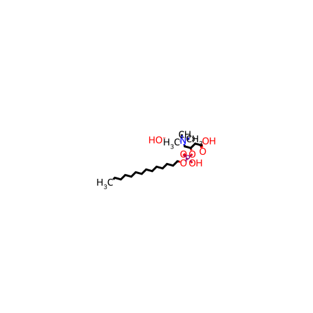 CCCCCCCCCCCCCCOP(=O)(O)OC(CC(=O)O)C[N+](C)(C)C.[OH-]